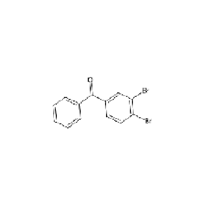 O=C(c1ccccc1)c1ccc(Br)c(Br)c1